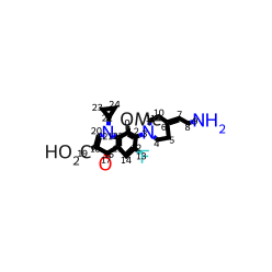 COc1c(N2CCC(=CCN)CC2)c(F)cc2c(=O)c(C(=O)O)cn(C3CC3)c12